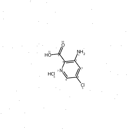 Cl.Nc1cc(Cl)cnc1C(=O)O